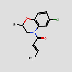 CC(C)C1CN(C(=O)/C=C/C(=O)O)c2cc(Cl)ccc2O1